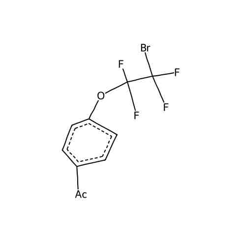 CC(=O)c1ccc(OC(F)(F)C(F)(F)Br)cc1